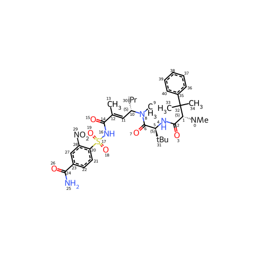 CN[C@H](C(=O)N[C@H](C(=O)N(C)[C@H](C=C(C)C(=O)NS(=O)(=O)c1ccc(C(N)=O)cc1[N+](=O)[O-])C(C)C)C(C)(C)C)C(C)(C)c1ccccc1